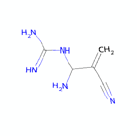 C=C(C#N)C(N)NC(=N)N